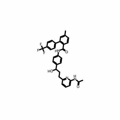 CC(=O)Nc1cccc(CCC(O)c2ccc(NC(=O)c3ccc(C)cc3-c3ccc(C(F)(F)F)cc3)cc2)n1